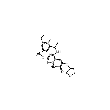 C[C@@H](Nc1ncnc2[nH]c(=O)c(O[C@H]3CCOC3)cc12)c1cc([N+](=O)[O-])cc(C(F)F)c1F